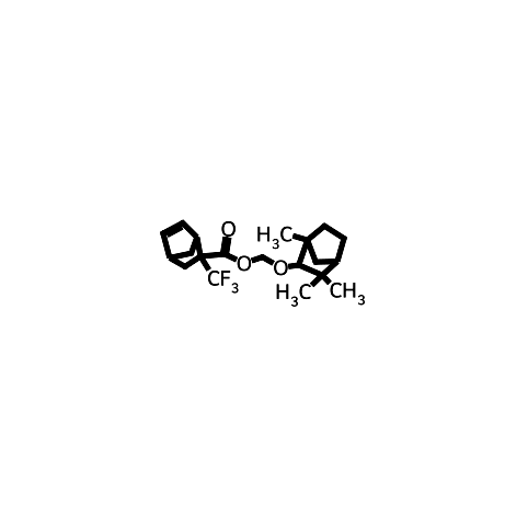 CC12CCC(C1)C(C)(C)C2OCOC(=O)C1(C(F)(F)F)CC2C=CC1C2